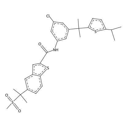 CC(C)c1ccc(C(C)(C)c2cc(Cl)cc(NC(=O)c3cc4cc(C(C)(C)S(C)(=O)=O)ccc4s3)c2)s1